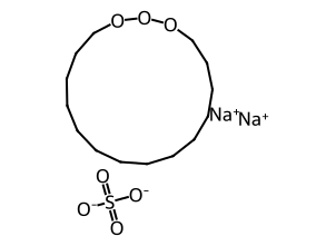 C1CCCCCCCOOOCCCCCC1.O=S(=O)([O-])[O-].[Na+].[Na+]